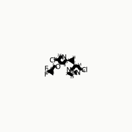 FC1(F)CC1COc1cc([C@H]2C[C@@H]2c2cc(Cl)nn3ccnc23)ncc1Cl